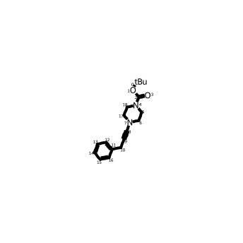 CC(C)(C)OC(=O)N1CCN(C#CCc2ccccc2)CC1